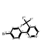 FC(F)(F)c1ccnnc1-c1ccc(Br)cc1